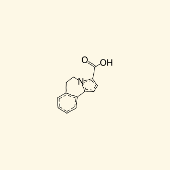 O=C(O)c1ccc2n1CCc1ccccc1-2